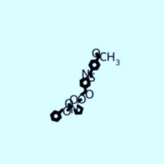 CC(=O)c1ccc(-c2nc3ccc(C(=O)COC(=O)[C@@H]4CCCN4C(=O)OCc4ccccc4)cc3s2)cc1